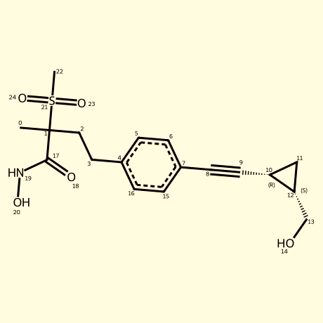 CC(CCc1ccc(C#C[C@@H]2C[C@@H]2CO)cc1)(C(=O)NO)S(C)(=O)=O